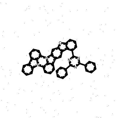 c1ccc(-c2nc(-c3ccccc3)nc(-c3cccc4oc5cc6c(cc5c34)c3cccc4c3n6c3cccc5c6ccccc6n4c53)n2)cc1